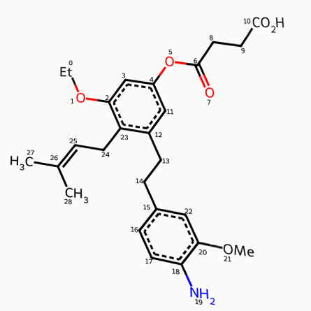 CCOc1cc(OC(=O)CCC(=O)O)cc(CCc2ccc(N)c(OC)c2)c1CC=C(C)C